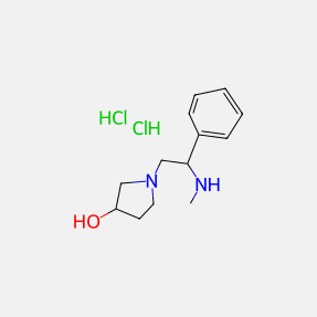 CNC(CN1CCC(O)C1)c1ccccc1.Cl.Cl